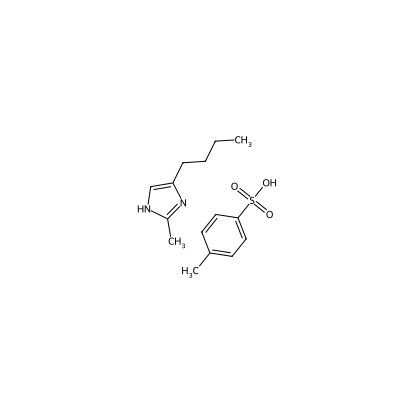 CCCCc1c[nH]c(C)n1.Cc1ccc(S(=O)(=O)O)cc1